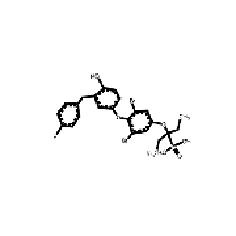 CCC(CC)(Oc1cc(Br)c(Oc2ccc(O)c(Cc3ccc(F)cc3)c2)c(Br)c1)P(=O)(O)O